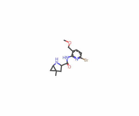 COCc1ccc(Br)nc1NC(=O)C1CC2(C)CC2N1